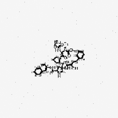 CN(C(=O)OC(C)(C)C)[C@@H](NC(=O)OC(C)(C)C)C(=O)N1CCC[C@H]1C(=O)[C@]1(NC(=O)[C@H](O)CCc2ccccc2)CN[C@H](C(=O)Nc2cnc3ccccc3c2)C1